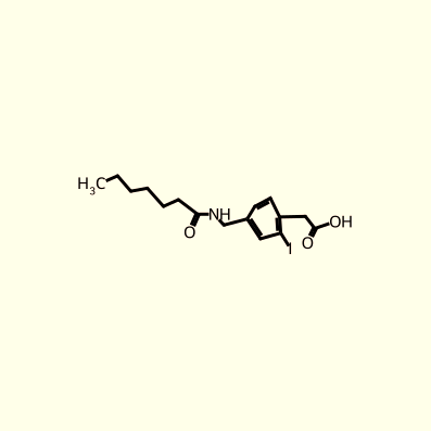 CCCCCCC(=O)NCc1ccc(CC(=O)O)c(I)c1